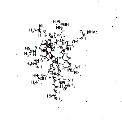 CC(=O)NCC(=O)NCCOCC(=O)N[C@@H](Cc1ccc(C(C)=O)cc1)C(=O)N[C@H](CCCNC(=N)N)C(=O)N[C@H](CCCNC(=N)N)C(=O)N[C@H](CCCNC(=N)N)C(=O)N[C@H](CCCNC(=N)N)C(=O)N[C@H](CCCNC(=N)N)C(=O)N[C@H](CCCNC(=N)N)C(=O)N[C@H](CCCNC(=N)N)C(=O)N[C@H](CCCNC(=N)N)C(=O)N[C@H](CS)C(N)=O